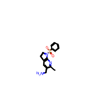 Cc1nc2c(cc1CN)CCN2S(=O)(=O)c1ccccc1